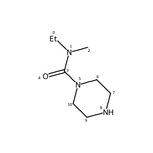 CCN(C)C(=O)N1CCNCC1